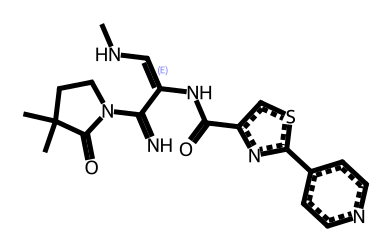 CN/C=C(/NC(=O)c1csc(-c2ccncc2)n1)C(=N)N1CCC(C)(C)C1=O